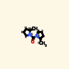 CC1CCCN1C(=O)N1CCCC1C